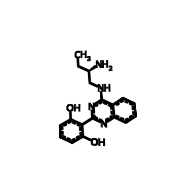 CC[C@@H](N)CNc1nc(-c2c(O)cccc2O)nc2ccccc12